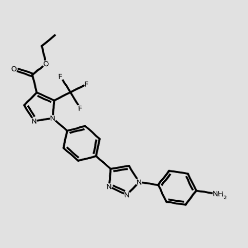 CCOC(=O)c1cnn(-c2ccc(-c3cn(-c4ccc(N)cc4)nn3)cc2)c1C(F)(F)F